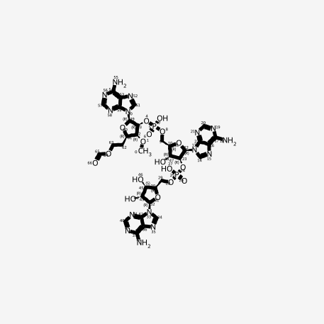 CO[C@H]1[C@@H](OP(=O)(O)OC[C@H]2O[C@@H](n3cnc4c(N)ncnc43)[C@H](OP(=O)(O)OC[C@H]3O[C@@H](n4cnc5c(N)ncnc54)[C@H](O)[C@@H]3O)[C@@H]2O)[C@H](n2cnc3c(N)ncnc32)O[C@@H]1CCOC=O